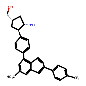 N[C@H]1C[C@@H](CO)C[C@@H]1c1ccc(-c2cc(C(=O)O)cc3cc(-c4ccc(C(F)(F)F)cc4)ccc23)cc1